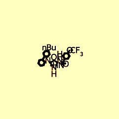 CCCCc1ccc2c(c1)c1ccccc1n2C1CNCC(NS(=N)(=O)c2ccc(OC(F)(F)F)cc2)C1O